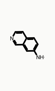 [NH]c1ccc2ccncc2c1